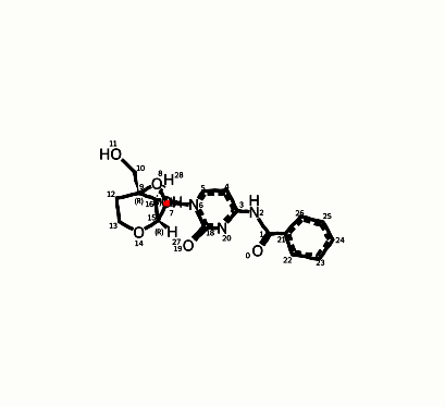 O=C(Nc1ccn([C@@H]2O[C@@]3(CO)CCO[C@@H]2[C@@H]3O)c(=O)n1)c1ccccc1